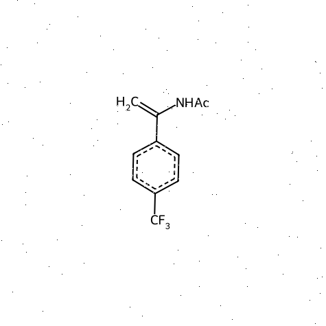 C=C(NC(C)=O)c1ccc(C(F)(F)F)cc1